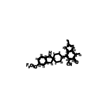 Cc1nc2c(N3CCC4(CC3)Cc3cc(OC(F)(F)F)ccc3N4)c(C#N)c(=O)n(C)c2s1